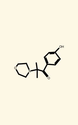 CC(C)(C(=O)c1ccc(O)cc1)N1CCOCC1